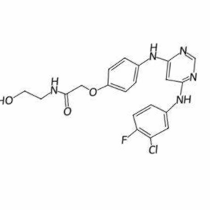 O=C(COc1ccc(Nc2cc(Nc3ccc(F)c(Cl)c3)ncn2)cc1)NCCO